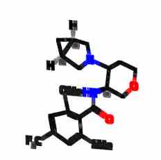 COc1cc(C(F)(F)F)cc(SC)c1C(=O)N[C@@H]1COCCC1N1C[C@H]2C[C@H]2C1